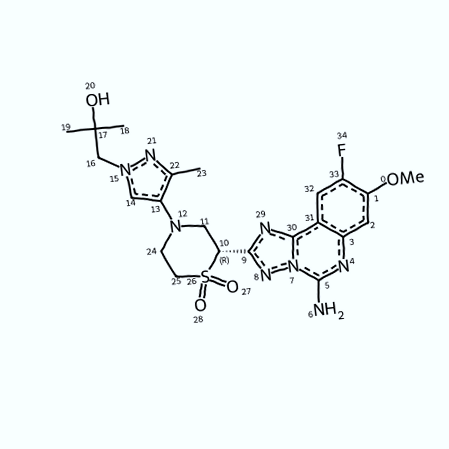 COc1cc2nc(N)n3nc([C@H]4CN(c5cn(CC(C)(C)O)nc5C)CCS4(=O)=O)nc3c2cc1F